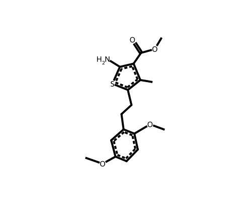 COC(=O)c1c(N)sc(CCc2cc(OC)ccc2OC)c1C